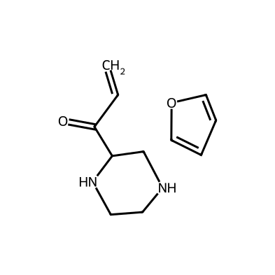 C=CC(=O)C1CNCCN1.c1ccoc1